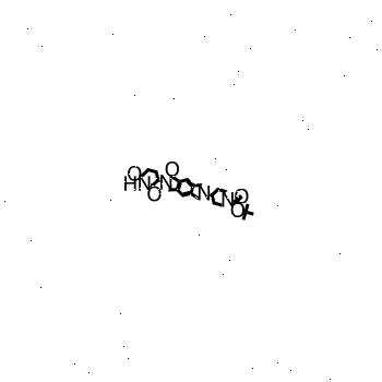 CC(C)(C)OC(=O)N1CCC(N2Cc3cc4c(cc3C2)C(=O)N(C2CCC(=O)NC2=O)C4)CC1